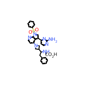 Nc1nccc(-c2cn(S(=O)(=O)c3ccccc3)c3nccc(N4CC(C(Cc5ccccc5)NC(=O)O)C4)c23)n1